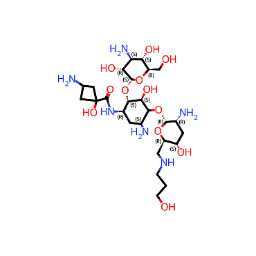 NC1CC(O)(C(=O)N[C@@H]2C[C@H](N)C(O[C@H]3O[C@H](CNCCCO)[C@@H](O)C[C@H]3N)[C@H](O)[C@H]2O[C@H]2O[C@H](CO)[C@@H](O)[C@H](N)[C@H]2O)C1